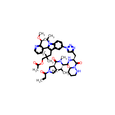 C=CC(=O)N1CC[C@H](C(=O)N(C)[C@H](C(=O)N[C@@H](Cc2cn(-c3ccc4c(c3)c(CC(C)(C)COC(C)=O)c(-c3cccnc3[C@H](C)OC)n4CC)nn2)C(=O)N2CCCCN2)C(C)C)C1